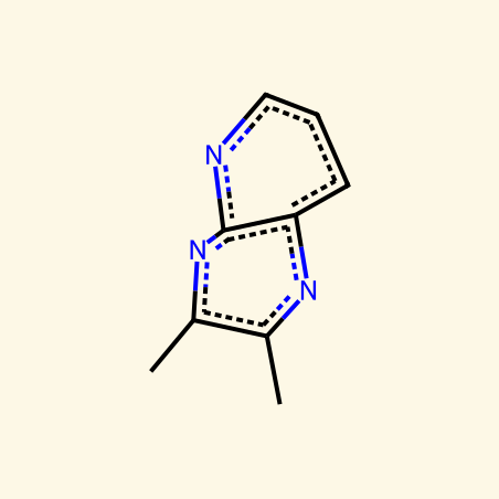 Cc1nc2cccnc2nc1C